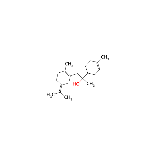 CC1=CCC(C(C)(O)CC2=C(C)CCC(=C(C)C)C2)CC1